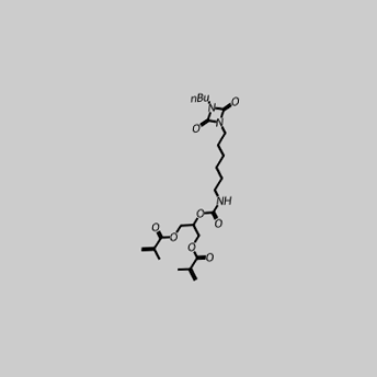 C=C(C)C(=O)OCC(COC(=O)C(=C)C)OC(=O)NCCCCCCN1C(=O)N(CCCC)C1=O